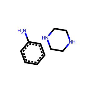 C1CNCCN1.Nc1ccccc1